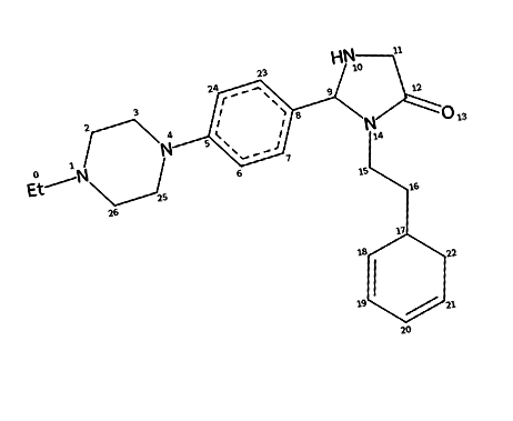 CCN1CCN(c2ccc(C3NCC(=O)N3CCC3C=CC=CC3)cc2)CC1